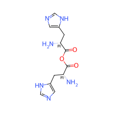 N[C@H](Cc1cnc[nH]1)C(=O)OC(=O)[C@H](N)Cc1cnc[nH]1